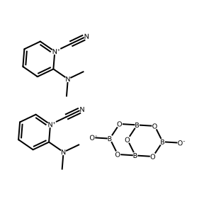 CN(C)c1cccc[n+]1C#N.CN(C)c1cccc[n+]1C#N.[O-]B1OB2OB([O-])OB(O1)O2